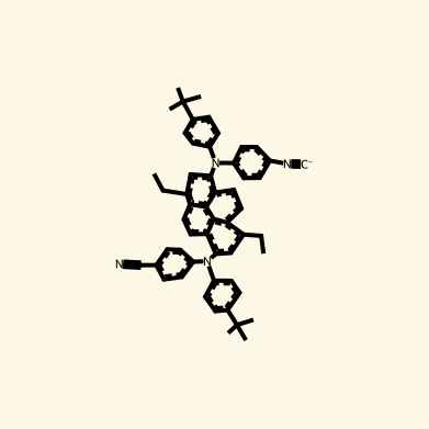 [C-]#[N+]c1ccc(N(c2ccc(C(C)(C)C)cc2)c2cc(CC)c3ccc4c(N(c5ccc(C#N)cc5)c5ccc(C(C)(C)C)cc5)cc(CC)c5ccc2c3c54)cc1